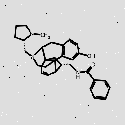 CN1CCC[C@H]1CN1CCC23c4cc(O)ccc4CC1C21CC=CC3[C@@H](CNC(=O)c2ccccc2)C1